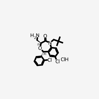 CC(C)(C)CN1C(=O)[C@H](CN)O[C@@H](c2ccccc2Cl)c2cc(Cl)ccc21.Cl